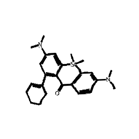 CN(C)c1ccc2c(c1)[Si](C)(C)c1cc(N(C)C)cc(C3=CCCCC3)c1C2=O